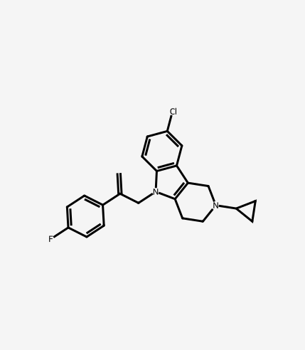 C=C(Cn1c2c(c3cc(Cl)ccc31)CN(C1CC1)CC2)c1ccc(F)cc1